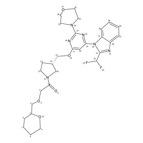 O=C(COCC1CCCCO1)N1CC[C@H](COc2cc(-n3c(C(F)F)nc4ccccc43)nc(N3CCOCC3)n2)C1